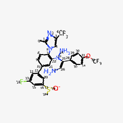 Cc1nc(C(F)(F)F)cn1-c1ccc(-c2cc(F)cc([S+](C)[O-])c2)cc1N(N)/C(=C\N)c1ccc(OC(F)(F)F)cc1